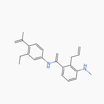 C=CCc1c(NC)cccc1C(=C)Nc1ccc(C(=C)C)c(CC)c1